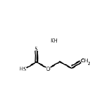 C=CCOC(=S)S.[KH]